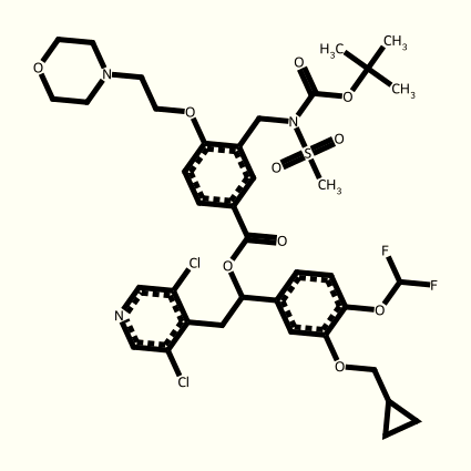 CC(C)(C)OC(=O)N(Cc1cc(C(=O)OC(Cc2c(Cl)cncc2Cl)c2ccc(OC(F)F)c(OCC3CC3)c2)ccc1OCCN1CCOCC1)S(C)(=O)=O